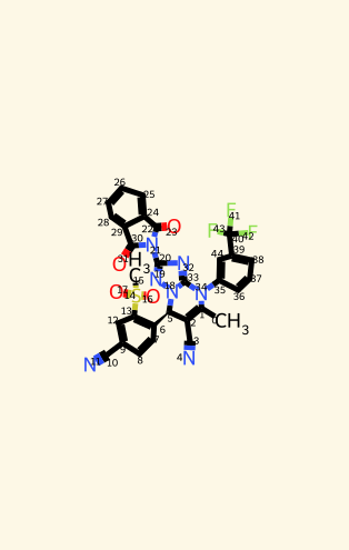 CC1=C(C#N)[C@@H](c2ccc(C#N)cc2S(C)(=O)=O)n2nc(N3C(=O)c4ccccc4C3=O)nc2N1c1cccc(C(F)(F)F)c1